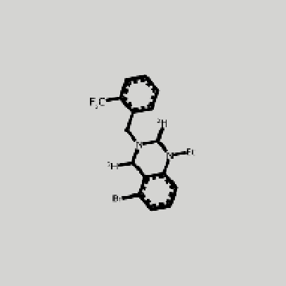 [2H]C1c2c(Br)cccc2N(CC)C([2H])N1Cc1ccccc1C(F)(F)F